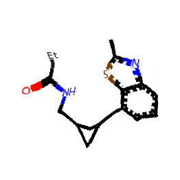 CCC(=O)NCC1CC1c1cccc2nc(C)sc12